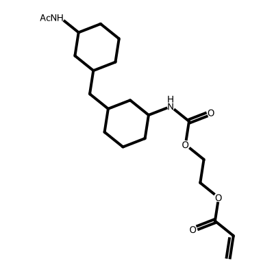 C=CC(=O)OCCOC(=O)NC1CCCC(CC2CCCC(NC(C)=O)C2)C1